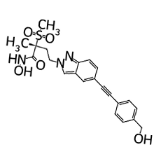 C[C@@](CCn1cc2cc(C#Cc3ccc(CO)cc3)ccc2n1)(C(=O)NO)S(C)(=O)=O